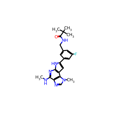 CNc1nc2[nH]c(-c3cc(F)cc(CNC(=O)C(C)(C)C)c3)cc2c2c1ncn2C